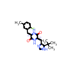 Cc1ccc(F)c(/C=c2\[nH]c(=O)/c(=C/c3nc[nH]c3C(C)(C)C)[nH]c2=O)c1